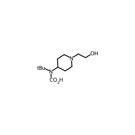 CC(C)(C)N(C(=O)O)C1CCN(CCO)CC1